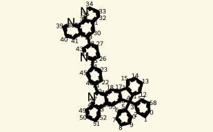 c1ccc(C2(c3ccccc3)c3ccccc3-c3cc4c(-c5ccc(-c6ccc(-c7cc8cccnc8c8ncccc78)cn6)cc5)nc5ccccc5c4cc32)cc1